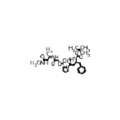 CNC(=O)C[C@H](C)NC(=O)COC(=O)[C@H]1CCCN1C(=O)CC(Cc1ccccc1)NC(=O)OC(C)(C)C